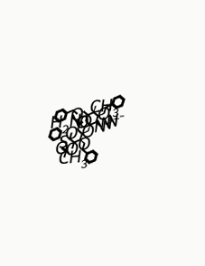 CC(=O)OC1[C@H](Sc2ccccc2)OC(C(N)=O)[C@@H](O[C@H]2OC(COCc3ccccc3)[C@@H](C)[C@@H](OCc3ccccc3)C2N=[N+]=[N-])[C@H]1OCc1ccccc1